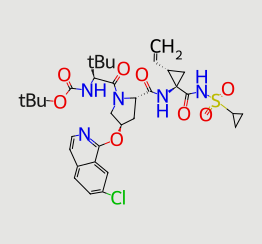 C=C[C@@H]1C[C@]1(NC(=O)[C@@H]1C[C@@H](Oc2nccc3ccc(Cl)cc23)CN1C(=O)[C@@H](NC(=O)OC(C)(C)C)C(C)(C)C)C(=O)NS(=O)(=O)C1CC1